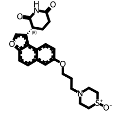 O=C1CC[C@H](c2coc3ccc4cc(OCCCN5CC[S+]([O-])CC5)ccc4c23)C(=O)N1